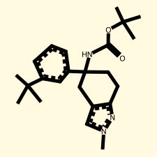 Cn1cc2c(n1)CCC(NC(=O)OC(C)(C)C)(c1cccc(C(C)(C)C)c1)C2